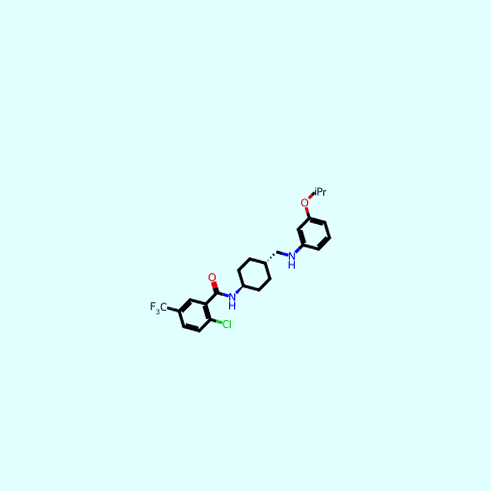 CC(C)Oc1cccc(NC[C@H]2CC[C@H](NC(=O)c3cc(C(F)(F)F)ccc3Cl)CC2)c1